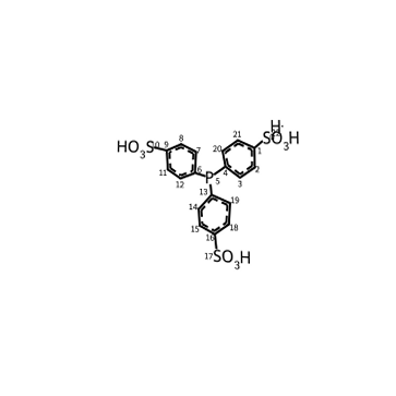 O=S(=O)(O)c1ccc(P(c2ccc(S(=O)(=O)O)cc2)c2ccc(S(=O)(=O)O)cc2)cc1.[H]